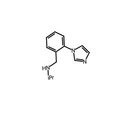 CC(C)NCc1ccccc1-n1ccnc1